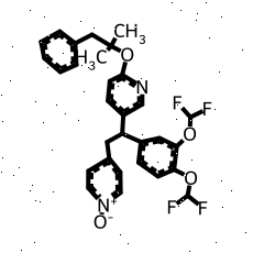 CC(C)(Cc1ccccc1)Oc1ccc(C(Cc2cc[n+]([O-])cc2)c2ccc(OC(F)F)c(OC(F)F)c2)cn1